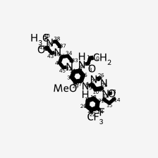 C=CC(=O)Nc1cc(Nc2cc(N3OCC[C@@H]3c3cccc(C(F)(F)F)c3F)ncn2)c(OC)cc1N1CCC(N2CCN(C)C(=O)C2)CC1